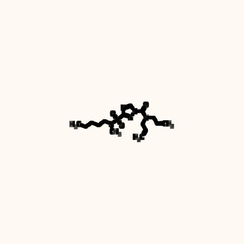 C=CCN(CC=C)C(=O)n1cnc(S(=O)(=O)N(C)CCCCC)n1